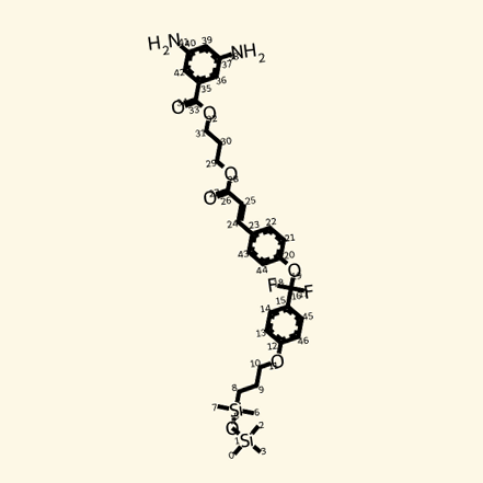 C[Si](C)(C)O[Si](C)(C)CCCOc1ccc(C(F)(F)Oc2ccc(/C=C/C(=O)OCCCOC(=O)c3cc(N)cc(N)c3)cc2)cc1